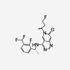 C=C(CCF)n1cc2c(N[C@H](C)c3cccc(C(F)F)c3F)ncnc2cc1=O